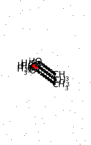 CCCCCCCCCCCCCC(=O)O.CCCCCCCCCCCCCCCC(=O)OC(C)C.CCCCCCCCCCCCCCCCCC(=O)OC(C)C